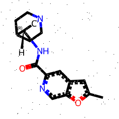 Cc1cc2cc(C(=O)N[C@H]3CN4CCC3CC4)ncc2o1